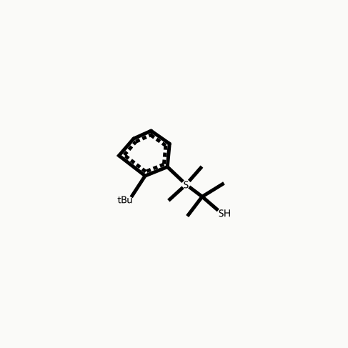 CC(C)(C)c1ccccc1S(C)(C)C(C)(C)S